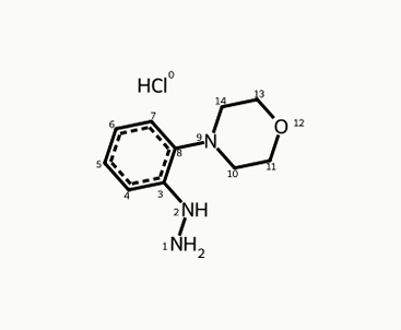 Cl.NNc1ccccc1N1CCOCC1